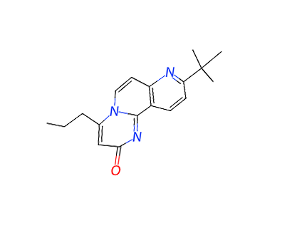 CCCc1cc(=O)nc2c3ccc(C(C)(C)C)nc3ccn12